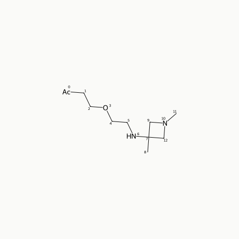 CC(=O)CCOCCNC1(C)CN(C)C1